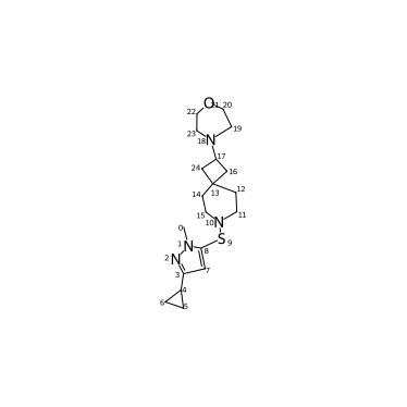 Cn1nc(C2CC2)cc1SN1CCC2(CC1)CC(N1CCOCC1)C2